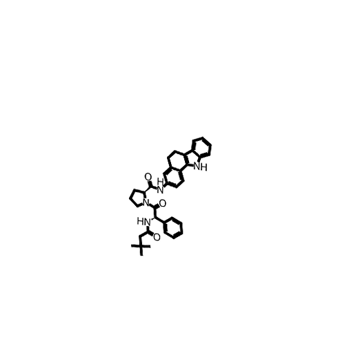 CC(C)(C)CC(=O)N[C@H](C(=O)N1CCC[C@H]1C(=O)Nc1ccc2c(c1)CCc1c-2[nH]c2ccccc12)c1ccccc1